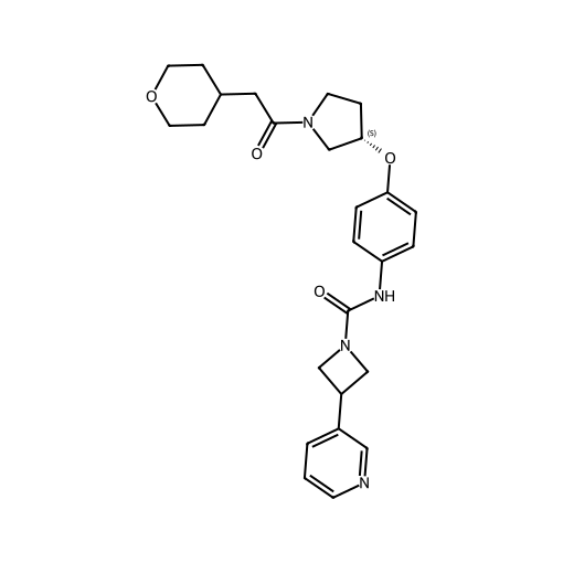 O=C(CC1CCOCC1)N1CC[C@H](Oc2ccc(NC(=O)N3CC(c4cccnc4)C3)cc2)C1